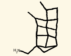 CC1CC2C3C4C5CC6(CN)C5C45C6C4C(C)C12C345